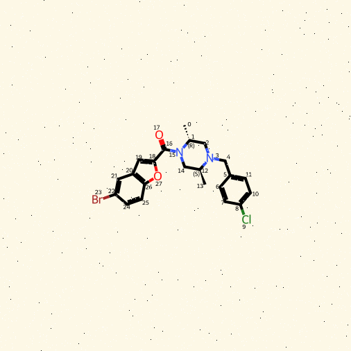 C[C@@H]1CN(Cc2ccc(Cl)cc2)[C@@H](C)CN1C(=O)c1cc2cc(Br)ccc2o1